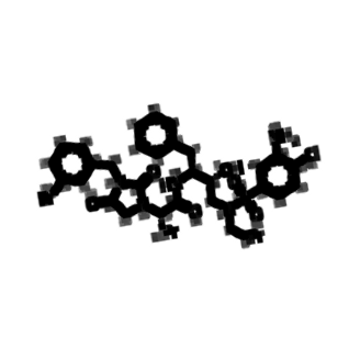 CC(C)CN(C[C@@H](O)[C@H](Cc1ccccc1)NC(=O)[C@H](C(C)C)N1CC(=O)N(Cc2cccc(Br)c2)C1=O)S(=O)(=O)c1ccc(Cl)c(N)c1